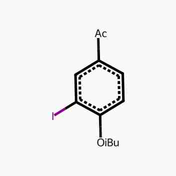 CC(=O)c1ccc(OCC(C)C)c(I)c1